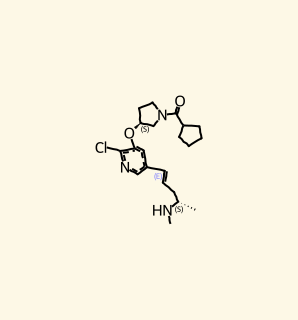 CN[C@@H](C)C/C=C/c1cnc(Cl)c(O[C@H]2CCN(C(=O)C3CCCC3)C2)c1